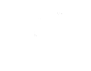 COC(=O)c1cc(Br)ccc1Nc1ccccc1